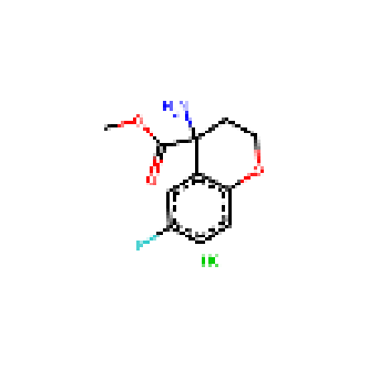 COC(=O)C1(N)CCOc2ccc(F)cc21.Cl